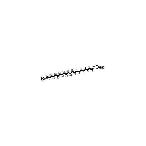 CCCCCCCCCCCCCCCCCCCCCCCCCCCCCCCCBr